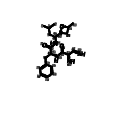 CC(C)C[C@H](NC(=O)[C@H](Cc1ccccc1)NC(=O)C(=N)C=N)B1CC(C)O1